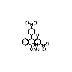 CCN(CC)c1ccc2c(-c3ccccc3C(O)OC)c3ccc(=[N+](CC)CC)cc-3oc2c1